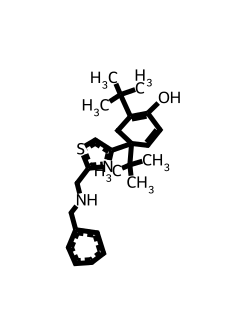 CC(C)(C)C1=C(O)C=CC(c2csc(CNCc3ccccc3)n2)(C(C)(C)C)C1